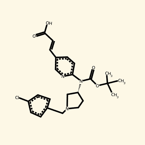 CC(C)(C)OC(=O)N(c1ccc(C=CC(=O)O)cn1)[C@@H]1CCN(Cc2ccc(Cl)cc2)C1